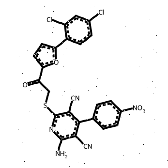 N#Cc1c(N)nc(SCC(=O)c2ccc(-c3ccc(Cl)cc3Cl)o2)c(C#N)c1-c1ccc([N+](=O)[O-])cc1